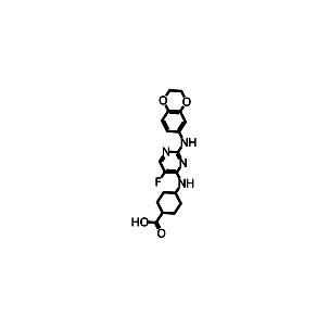 O=C(O)C1CCC(Nc2nc(Nc3ccc4c(c3)OCCO4)ncc2F)CC1